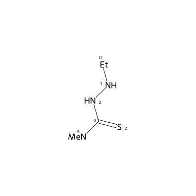 CCNNC(=S)NC